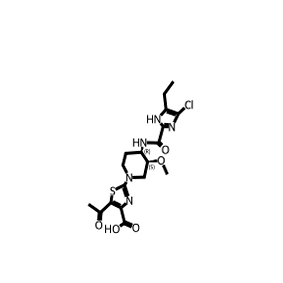 CCc1[nH]c(C(=O)N[C@@H]2CCN(c3nc(C(=O)O)c(C(C)=O)s3)C[C@@H]2OC)nc1Cl